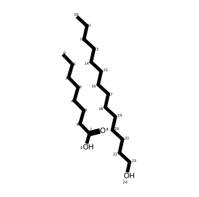 CCCCCCCC(=O)O.CCCCCCCCCCCCCCO